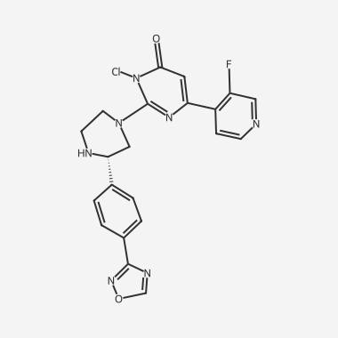 O=c1cc(-c2ccncc2F)nc(N2CCN[C@@H](c3ccc(-c4ncon4)cc3)C2)n1Cl